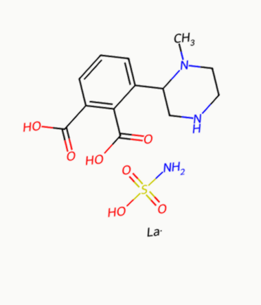 CN1CCNCC1c1cccc(C(=O)O)c1C(=O)O.NS(=O)(=O)O.[La]